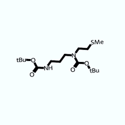 CSCCN(CCCNC(=O)OC(C)(C)C)C(=O)OC(C)(C)C